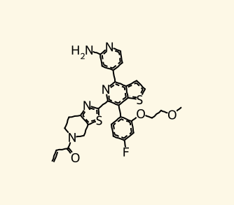 C=CC(=O)N1CCc2nc(-c3nc(-c4ccnc(N)c4)c4ccsc4c3-c3ccc(F)cc3OCCOC)sc2C1